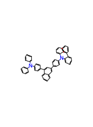 c1ccc(-c2ccccc2N(c2ccccc2)c2ccc(-c3cc(-c4ccc(N(c5ccccc5)c5ccccc5)cc4)c4ccccc4c3)cc2)cc1